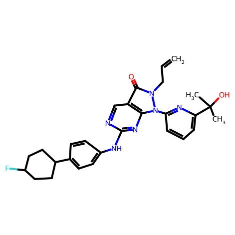 C=CCn1c(=O)c2cnc(Nc3ccc(C4CCC(F)CC4)cc3)nc2n1-c1cccc(C(C)(C)O)n1